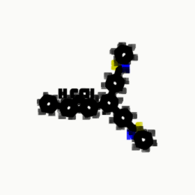 CC1(C)c2cc(-c3ccccc3)ccc2-c2ccc(-c3cc(-c4ccc(-c5nc6ccccc6s5)cc4)cc(-c4ccc(-c5nc6ccccc6s5)cc4)c3)cc21